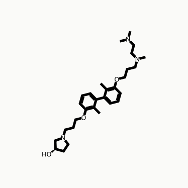 Cc1c(OCCCN(C)CCN(C)C)cccc1-c1cccc(OCCCN2CC[C@@H](O)C2)c1C